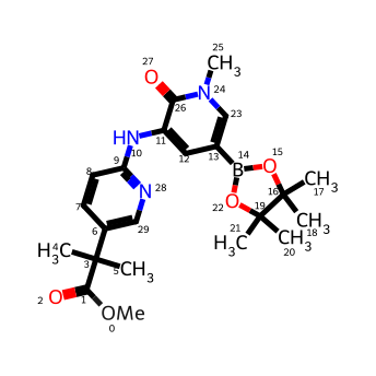 COC(=O)C(C)(C)c1ccc(Nc2cc(B3OC(C)(C)C(C)(C)O3)cn(C)c2=O)nc1